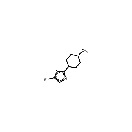 CC(C)c1cnc(C2CCN(C)CC2)s1